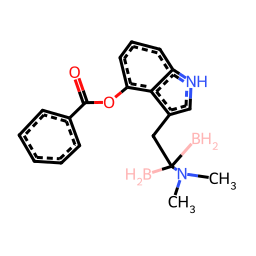 BC(B)(Cc1c[nH]c2cccc(OC(=O)c3ccccc3)c12)N(C)C